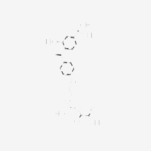 C=C(C)C(=O)OC(C)OCCOc1ccc(C(=O)c2ccc(C(C)(C)C)cc2O)cc1